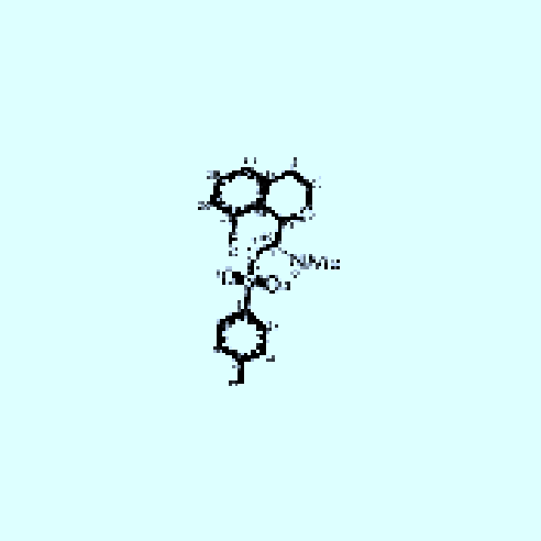 CN[C@H](OS(=O)(=O)c1ccc(C)cc1)C1OCCc2cccc(F)c21